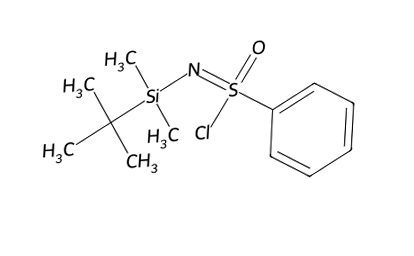 CC(C)(C)[Si](C)(C)N=S(=O)(Cl)c1ccccc1